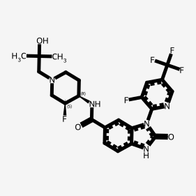 CC(C)(O)CN1CC[C@@H](NC(=O)c2ccc3[nH]c(=O)n(-c4ncc(C(F)(F)F)cc4F)c3c2)[C@@H](F)C1